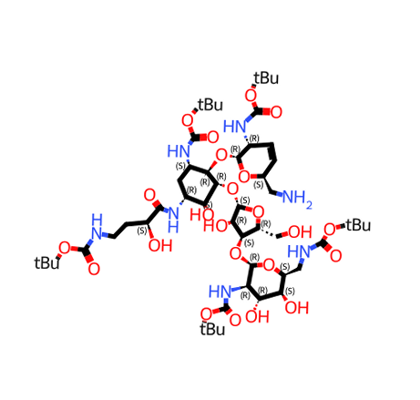 CC(C)(C)OC(=O)NCC[C@H](O)C(=O)N[C@@H]1C[C@H](NC(=O)OC(C)(C)C)[C@@H](O[C@H]2O[C@H](CN)C=C[C@H]2NC(=O)OC(C)(C)C)[C@H](O[C@@H]2O[C@H](CO)[C@@H](O[C@H]3O[C@@H](CNC(=O)OC(C)(C)C)[C@@H](O)[C@H](O)[C@H]3NC(=O)OC(C)(C)C)[C@H]2O)[C@H]1O